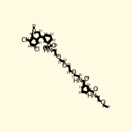 CCOCCNC(=O)c1cccc(C(=O)NCCOCCOCCOCCNS(=O)(=O)c2cccc(C3CN(C)Cc4c(Cl)cc(Cl)cc43)c2)c1